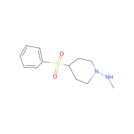 CNN1CCC(S(=O)(=O)c2ccccc2)CC1